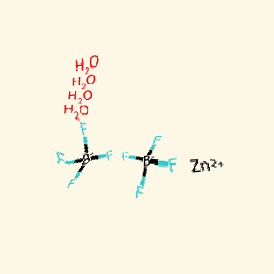 F[B-](F)(F)F.F[B-](F)(F)F.O.O.O.O.[Zn+2]